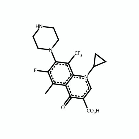 Cc1c(F)c(N2CCNCC2)c(C(F)(F)F)c2c1c(=O)c(C(=O)O)cn2C1CC1